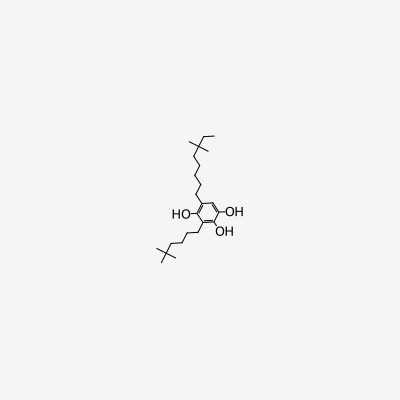 CCC(C)(C)CCCCCc1cc(O)c(O)c(CCCCC(C)(C)C)c1O